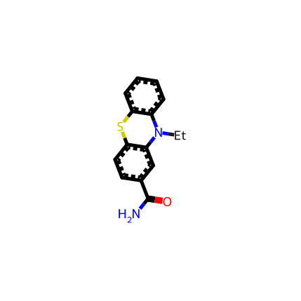 CCN1c2ccccc2Sc2ccc(C(N)=O)cc21